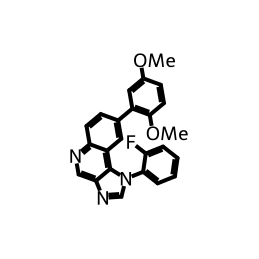 COc1ccc(OC)c(-c2ccc3ncc4ncn(-c5ccccc5F)c4c3c2)c1